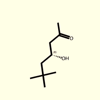 CC(=O)C[C@H](O)CC(C)(C)C